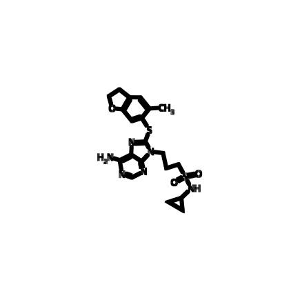 Cc1cc2c(cc1Sc1nc3c(N)ncnc3n1CCCS(=O)(=O)NC1CC1)OCC2